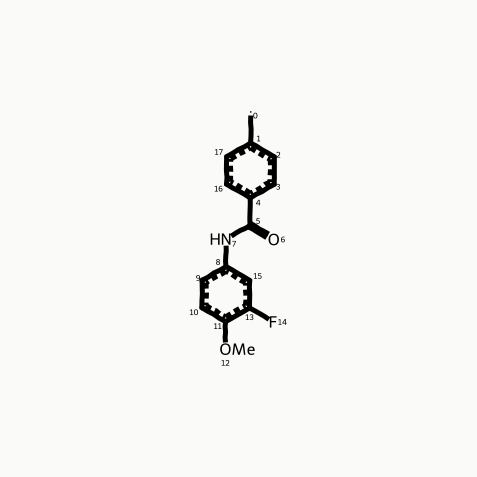 [CH2]c1ccc(C(=O)Nc2ccc(OC)c(F)c2)cc1